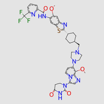 COc1cc2nc([C@H]3CC[C@H](CN4CCN(c5ccn6c(N7CCC(=O)NC7=O)cnc6c5OC)CC4)CC3)sc2cc1NC(=O)c1cccc(C(F)(F)F)n1